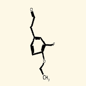 CCOc1ccc(CC=O)cc1F